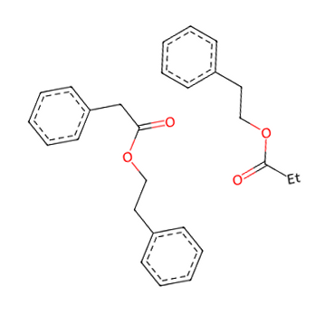 CCC(=O)OCCc1ccccc1.O=C(Cc1ccccc1)OCCc1ccccc1